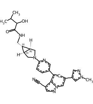 CC(C)C(O)C(=O)NC[C@@H]1[C@H]2CN(c3ccc(-c4cc(-c5cnn(C)c5)cn5ncc(C#N)c45)cn3)C[C@@H]12